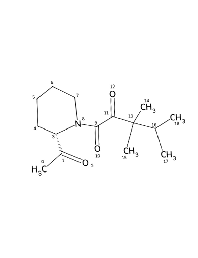 CC(=O)[C@@H]1CCCCN1C(=O)C(=O)C(C)(C)C(C)C